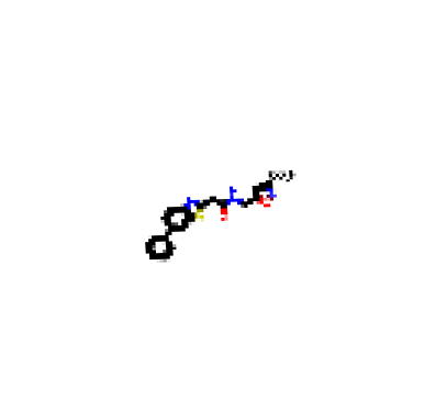 O=C(Cc1nc2ccc(-c3ccccc3)cc2s1)NCc1cc(C(=O)O)no1